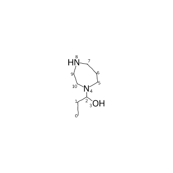 CCC(O)N1CCCNCC1